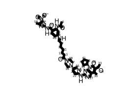 CC(=O)Nc1cc(NCCCCCCC(=O)N2CCN(c3ccc(Nc4ncc5c(C)c(C(C)=O)c(=O)n(C6CCCC6)c5n4)nc3)CC2)ccc1C(=O)Nc1nc(C)c([N+](=O)[O-])s1